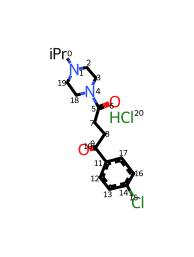 CC(C)N1CCN(C(=O)CCC(=O)c2ccc(Cl)cc2)CC1.Cl